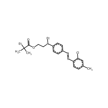 CCN(CCOC(=O)C(C)(C)CC)c1ccc(N=Nc2ccc(C)cc2Cl)cc1